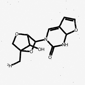 [2H]CC12COC(C(N3C=C4C=COC4NC3=O)O1)C2O